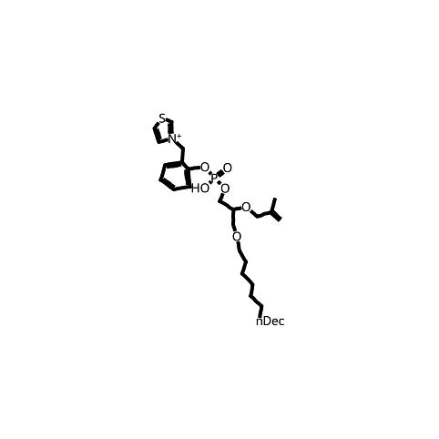 C=C(C)COC(COCCCCCCCCCCCCCCCC)COP(=O)(O)Oc1ccccc1C[n+]1ccsc1